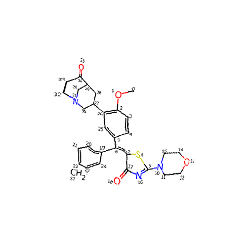 COc1ccc(C(=C2SC(N3CCOCC3)=NC2=O)c2ccccc2)cc1C1CC2CN(CCC2=O)C1.[CH2]